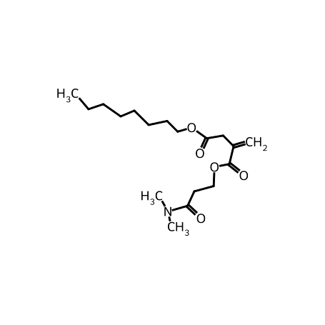 C=C(CC(=O)OCCCCCCCC)C(=O)OCCC(=O)N(C)C